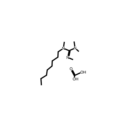 CCCCCCCCN(C)C(=NC)N(C)C.O=C(O)O